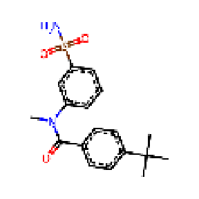 CN(C(=O)c1ccc(C(C)(C)C)cc1)c1cccc(S(N)(=O)=O)c1